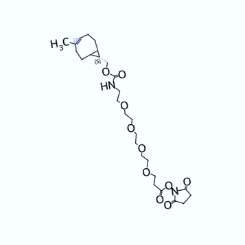 C/C1=C/CCC2C(CC1)[C@H]2COC(=O)NCCOCCOCCOCCOCCC(=O)ON1C(=O)CCC1=O